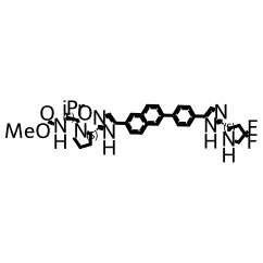 COC(=O)N[C@H](C(=O)N1CCC[C@H]1c1ncc(-c2ccc3cc(-c4ccc(-c5cnc([C@@H]6CC(F)(F)CN6)[nH]5)cc4)ccc3c2)[nH]1)C(C)C